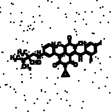 Cc1c(=O)n(C)c(Nc2ccc(I)cc2F)c2c(=O)n(C3CC3)c(=O)n(-c3cccc(NC[C@](C)(C=O)N(C)C)c3)c12